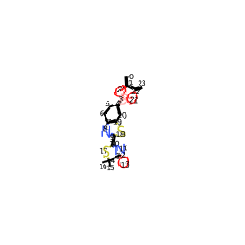 C=C1OB(c2ccc3nc(C4=NC(=O)C(C)(C)S4)sc3c2)OC1=C